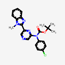 Cn1c(-c2cncc(N(C(=O)OC(C)(C)C)c3ccc(Cl)cc3)n2)nc2ccccc21